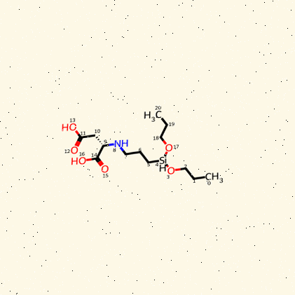 CCCO[SiH](CCCN[C@@H](CC(=O)O)C(=O)O)OCCC